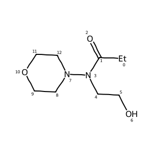 CCC(=O)N(CCO)N1CCOCC1